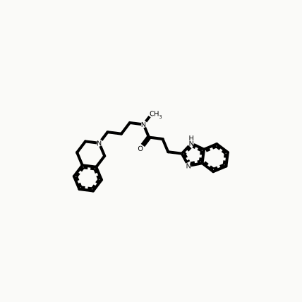 CN(CCCN1CCc2ccccc2C1)C(=O)CCc1nc2ccccc2[nH]1